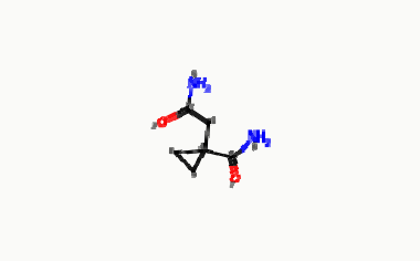 NC(=O)[CH]C1(C(N)=O)CC1